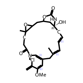 C=C(Cl)/C(=C\C1=C/N(C)C(=O)CCC2(C)OC2CC2C[C@](O)(C/C=C/C=C(\C)C1)NC(=O)O2)OC